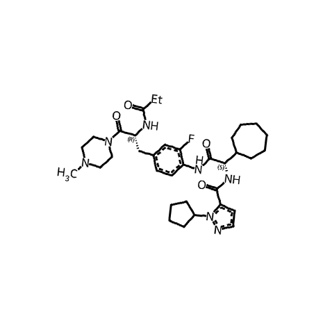 CCC(=O)N[C@H](Cc1ccc(NC(=O)[C@@H](NC(=O)c2ccnn2C2CCCC2)C2CCCCCC2)c(F)c1)C(=O)N1CCN(C)CC1